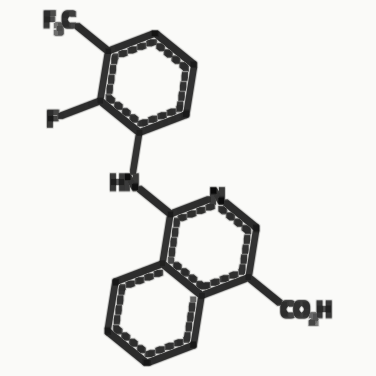 O=C(O)c1cnc(Nc2cccc(C(F)(F)F)c2F)c2ccccc12